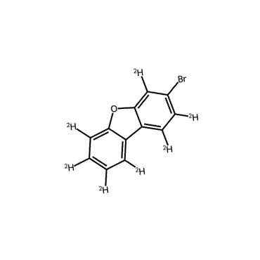 [2H]c1c([2H])c([2H])c2c(oc3c([2H])c(Br)c([2H])c([2H])c32)c1[2H]